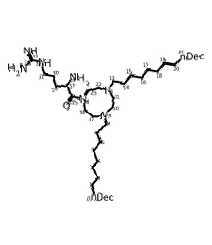 CCCCCCCCCCCCCCCCCCN1CCN(CCCCCCCCCCCCCCCCCC)CCN(C(=O)C(N)CCCNC(=N)N)CC1